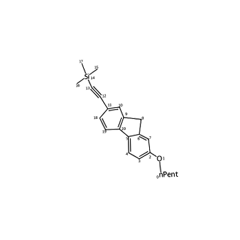 CCCCCOc1ccc2c(c1)Cc1cc(C#C[Si](C)(C)C)ccc1-2